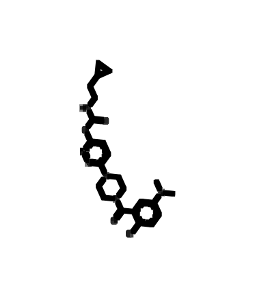 CN(C)c1ccc(Cl)c(C(=O)N2CCN(c3ccc(OC(=O)NCCC4CC4)nn3)CC2)c1